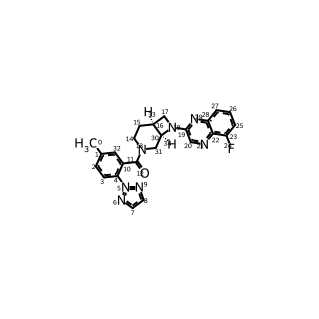 Cc1ccc(-n2nccn2)c(C(=O)N2CC[C@H]3CN(c4cnc5c(F)cccc5n4)[C@H]3C2)c1